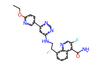 CCOc1ccc(-c2cc(NC[C@@H](C)c3cccc4c(C(=O)NC)c(F)cnc34)ncn2)cn1